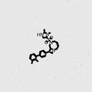 Cc1cccc(-c2ccc(C3CN4C/C=C\CN(S(=O)(=O)C5CNC(C)N5C)CC34)cc2)c1C